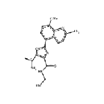 COc1ccc(-c2nc(C(=O)NCC(C)(C)C)c([C@H](C)N)o2)c2ccc(C(F)(F)F)nc12